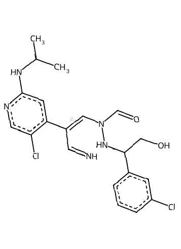 CC(C)Nc1cc(/C(C=N)=C/N(C=O)NC(CO)c2cccc(Cl)c2)c(Cl)cn1